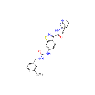 COc1cccc(CNC(=O)Nc2ccc3c(C(=O)N[C@@H]4CN5CCC4CC5)nsc3c2)c1